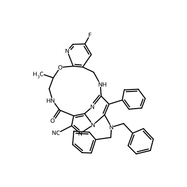 CC1CNC(=O)c2c(C#N)nn3c(N(Cc4ccccc4)Cc4ccccc4)c(-c4ccccc4)c(nc23)NCc2cc(F)cnc2O1